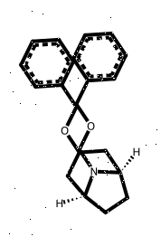 c1ccc(COCN2[C@@H]3CC[C@H]2CC(OCc2ccccc2)C3)cc1